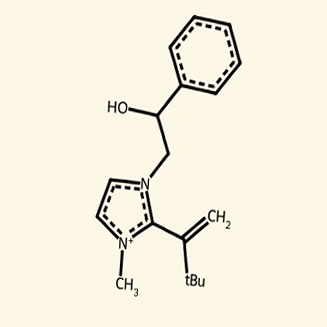 C=C(c1n(CC(O)c2ccccc2)cc[n+]1C)C(C)(C)C